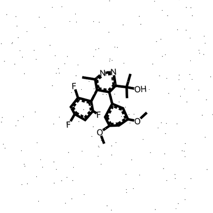 COc1cc(OC)cc(-c2c(C(C)(C)O)nnc(C)c2-c2c(F)cc(F)cc2F)c1